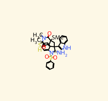 CSC1(CC2(c3c[nH]c4ccccc34)c3ccccc3N(S(=O)(=O)c3ccccc3)[C@H]2N)CC(=O)[C@@](C)(S)N(C)C1=O